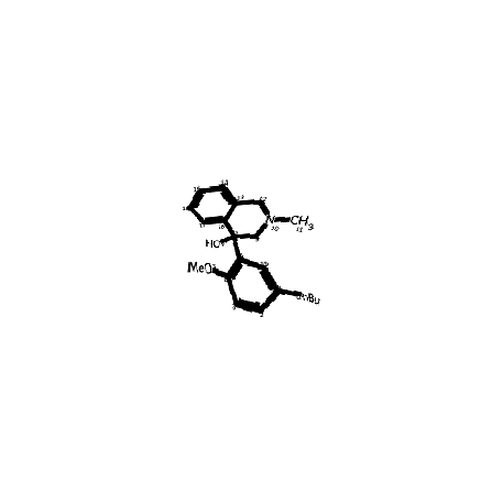 CCCCc1ccc(OC)c(C2(O)CN(C)Cc3ccccc32)c1